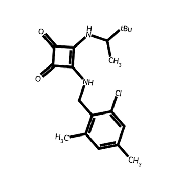 Cc1cc(C)c(CNc2c(NC(C)C(C)(C)C)c(=O)c2=O)c(Cl)c1